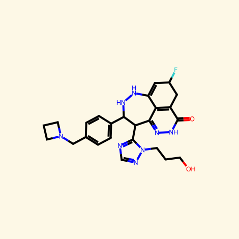 O=c1[nH]nc2c3c1CC(F)C=C3NNC(c1ccc(CN3CCC3)cc1)C2c1ncnn1CCCO